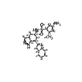 Cc1nc(N)sc1S(=O)(=O)Nc1cc(-c2cc3ccccc3s2)c2[nH]ncc2c1